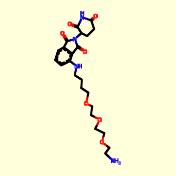 NCCOCCOCCOCCCCNc1cccc2c1C(=O)N(C1CCC(=O)NC1=O)C2=O